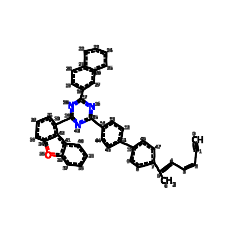 C#C/C=C\C=C(/C)c1ccc(-c2ccc(-c3nc(-c4ccc5ccccc5c4)nc(-c4cccc5oc6ccccc6c45)n3)cc2)cc1